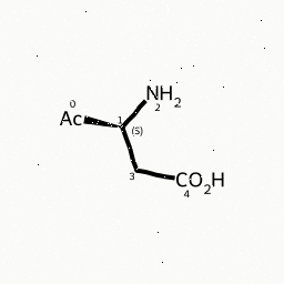 [CH]C(=O)[C@@H](N)CC(=O)O